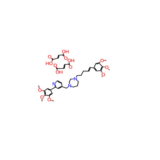 COc1cc(C=CCCCN2CCCN(Cc3ccnc(-c4cc(OC)c(OC)c(OC)c4)c3)CC2)cc(OC)c1OC.O=C(O)C=CC(=O)O.O=C(O)C=CC(=O)O